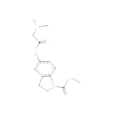 CN(C)CC(=O)Nc1ccc2c(c1)CCN2C(=O)OC(C)(C)C